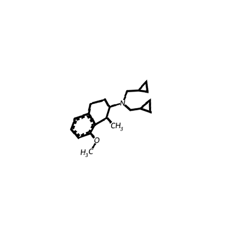 COc1cccc2c1C(C)C(N(CC1CC1)CC1CC1)CC2